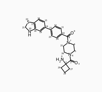 NC1(C(=O)N2CCN(C(=O)c3ccc(-c4ccc5c(c4)NCS5)cc3)CC2)CCC1